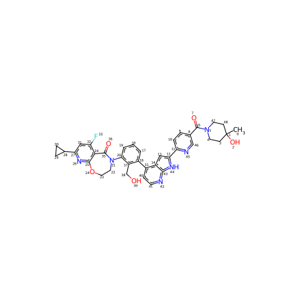 CC1(O)CCN(C(=O)c2ccc(-c3cc4c(-c5cccc(N6CCOc7nc(C8CC8)cc(F)c7C6=O)c5CO)ccnc4[nH]3)nc2)CC1